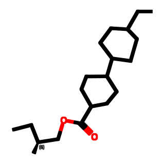 CCC1CCC(C2CCC(C(=O)OC[C@@H](C)CC)CC2)CC1